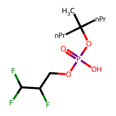 CCCC(C)(CCC)OP(=O)(O)OCC(F)C(F)F